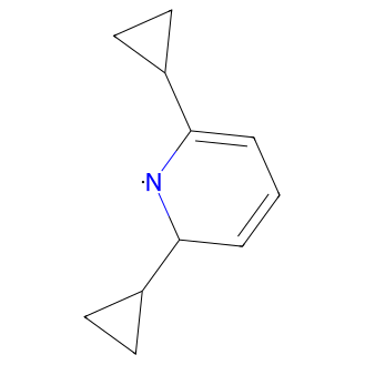 C1=CC(C2CC2)[N]C(C2CC2)=C1